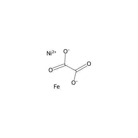 O=C([O-])C(=O)[O-].[Fe].[Ni+2]